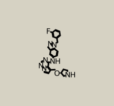 Fc1cccc(Cn2ncc3cc(Nc4ncnn5ccc(CO[C@H]6CCNC6)c45)ccc32)c1